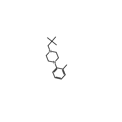 Cc1ccccc1N1CCN(CC(C)(C)C)CC1